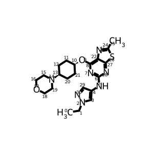 CCn1cc(Nc2nc(O[C@H]3CC[C@H](N4CCOCC4)CC3)c3nc(C)sc3n2)cn1